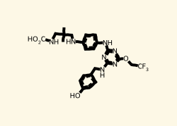 CC(C)(CNC(=O)O)CNc1ccc(Nc2nc(NCc3ccc(O)cc3)nc(OCC(F)(F)F)n2)cc1